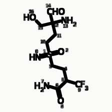 N=S(=O)(CCC(C(N)=O)C(F)(F)F)CCC(N)(C=O)CO